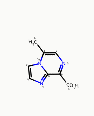 Cc1cnc(C(=O)O)c2nccn12